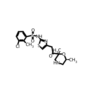 Cc1c(Cl)cccc1S(=O)(=O)Nc1nc(CC(=O)[C@@]2(C)CNC[C@H](C)O2)cs1